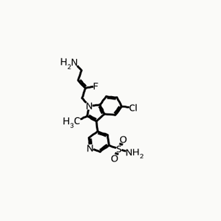 Cc1c(-c2cncc(S(N)(=O)=O)c2)c2cc(Cl)ccc2n1C/C(F)=C/CN